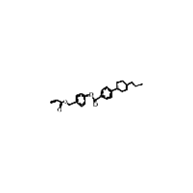 C=CC(=O)OCc1ccc(OC(=O)c2ccc(C3CCC(CCC)CC3)cc2)cc1